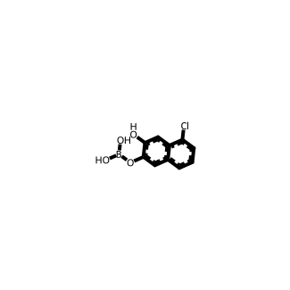 OB(O)Oc1cc2cccc(Cl)c2cc1O